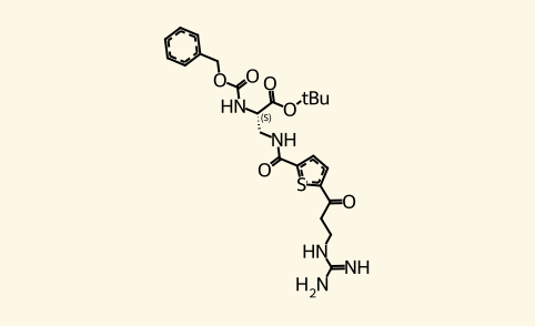 CC(C)(C)OC(=O)[C@H](CNC(=O)c1ccc(C(=O)CCNC(=N)N)s1)NC(=O)OCc1ccccc1